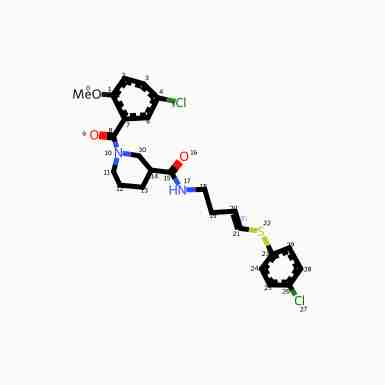 COc1ccc(Cl)cc1C(=O)N1CCCC(C(=O)NCC/C=C/Sc2ccc(Cl)cc2)C1